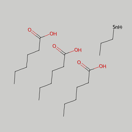 CCCCCC(=O)O.CCCCCC(=O)O.CCCCCC(=O)O.CC[CH2][SnH]